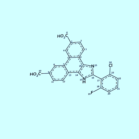 O=C(O)c1ccc2c(c1)c1cc(C(=O)O)ccc1c1[nH]c(-c3c(F)cccc3Cl)nc21